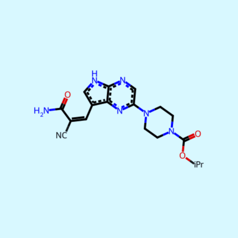 CC(C)OC(=O)N1CCN(c2cnc3[nH]cc(/C=C(/C#N)C(N)=O)c3n2)CC1